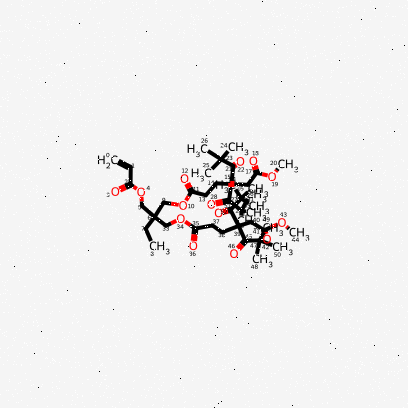 C=CC(=O)OCC(CC)(COC(=O)CCC(CC(=O)OC)(C(=O)C(C)(C)C)C(=O)C(C)(C)C)COC(=O)CCC(CC(=O)OC)(C(=O)C(C)(C)C)C(=O)C(C)(C)C